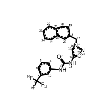 O=C(Nc1cccc(C(F)(F)F)c1)Nc1c[n+](Cc2ccc3ccccc3c2)no1